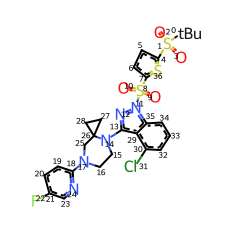 CC(C)(C)S(=O)(=O)c1ccc(S(=O)(=O)n2nc(N3CCN(c4ccc(F)cn4)CC34CC4)c3c(Cl)cccc32)s1